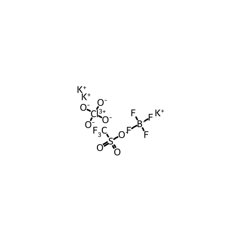 F[B-](F)(F)F.O=S(=O)([O-])C(F)(F)F.[K+].[K+].[K+].[O-][Cl+3]([O-])([O-])[O-]